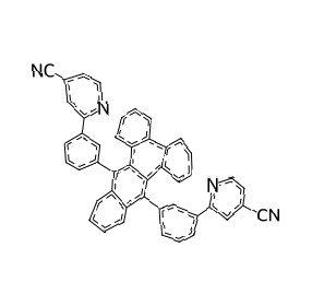 N#Cc1ccnc(-c2cccc(-c3c4ccccc4c(-c4cccc(-c5cc(C#N)ccn5)c4)c4c5ccccc5c5ccccc5c34)c2)c1